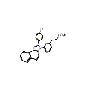 O=C(O)CCc1cccc(-n2c(-c3ccc(Cl)cc3)cc3c4ccccc4ccc32)c1